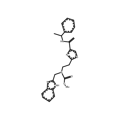 C=C(NC(C)c1ccccc1)c1csc(CCN(Cc2nc3ccccc3[nH]2)C(=O)OC(C)(C)C)n1